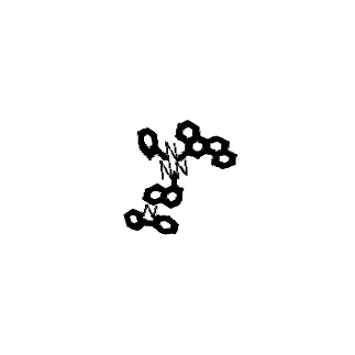 c1ccc(-c2nc(-c3cccc4c(-n5c6ccccc6c6ccccc65)cccc34)nc(-c3cc4c5ccccc5ccc4c4ccccc34)n2)cc1